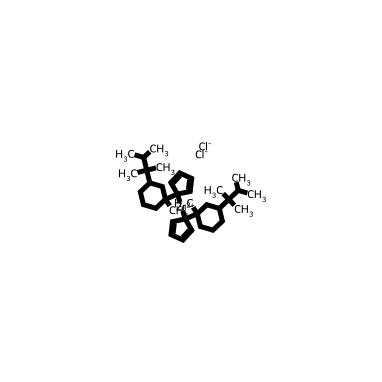 CC(C)C(C)(C)C1CCCC(C)([C]2([Zr+2][C]3(C4(C)CCCC(C(C)(C)C(C)C)C4)C=CC=C3)C=CC=C2)C1.[Cl-].[Cl-]